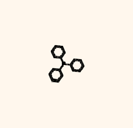 c1ccc(P(c2ccccc2)c2ccccc2)cc#1